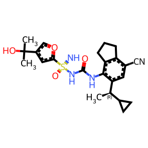 C[C@@H](c1cc(C#N)c2c(c1NC(=O)NS(=N)(=O)c1cc(C(C)(C)O)co1)CCC2)C1CC1